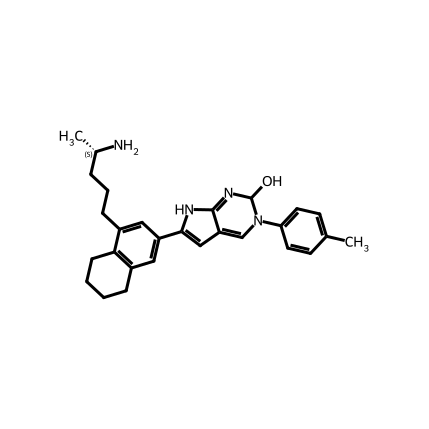 Cc1ccc(N2C=c3cc(-c4cc5c(c(CCC[C@H](C)N)c4)CCCC5)[nH]c3=NC2O)cc1